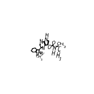 CC(C)NC(=O)Oc1c[nH]c2ncc(-c3c4c(n(C)[n+]3[O-])CCCC4)nc12